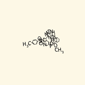 CCOC(=O)[C@@H]1C2CCC(CC2)[C@H]1Nc1nc(-c2cn(S(=O)(=O)c3ccc(C)cc3)c3ncc(F)cc23)nn2ccnc12